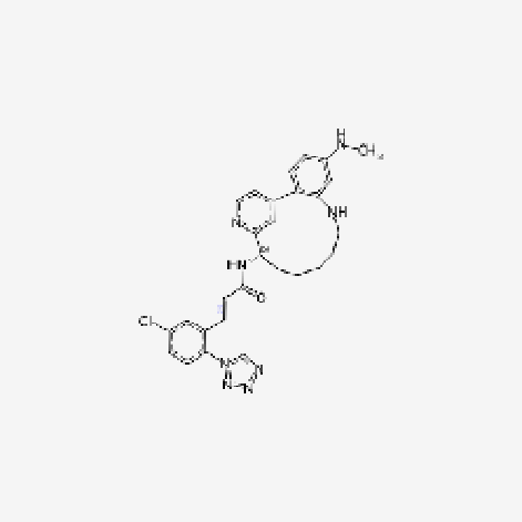 CNc1ccc2c(c1)NCCCCC[C@H](NC(=O)/C=C/c1cc(Cl)ccc1-n1cnnn1)c1cc-2ccn1